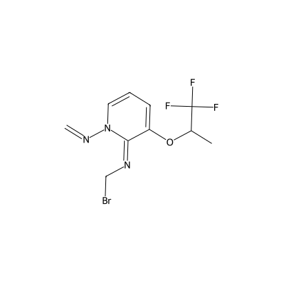 C=Nn1cccc(OC(C)C(F)(F)F)/c1=N/CBr